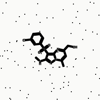 CNc1nn2c(C)cc(CO)nc2c1S(=O)(=O)c1cccc(Cl)c1